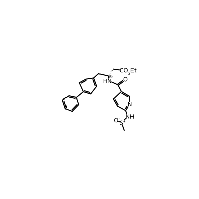 CCOC(=O)C[C@@H](Cc1ccc(-c2ccccc2)cc1)NC(=O)c1ccc(N[S+](C)[O-])nc1